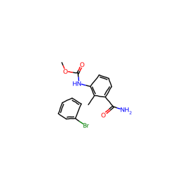 Brc1ccccc1.COC(=O)Nc1cccc(C(N)=O)c1C